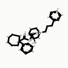 O=C(O[C@H]1C[N+]2(CCCc3ccncc3)CCC1CC2)C1(c2ccccc2)CCCCCC1